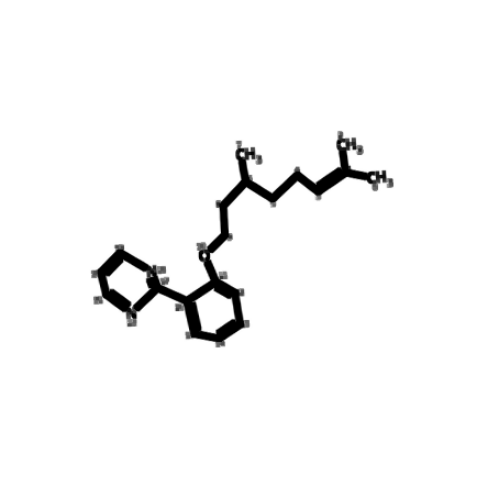 CC(C)=CCCC(C)CCOc1ccccc1-c1ncccn1